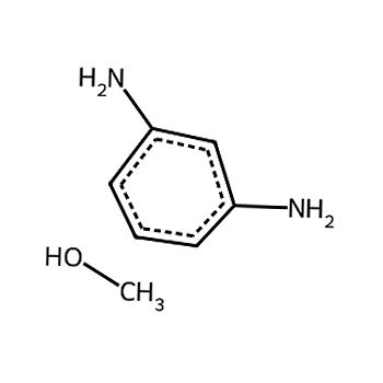 CO.Nc1cccc(N)c1